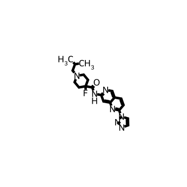 CC(C)CN1CCC(F)(C(=O)Nc2cc3nc(-n4ccnn4)ccc3cn2)CC1